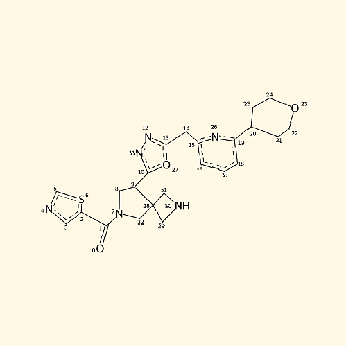 O=C(c1cncs1)N1CC(c2nnc(Cc3cccc(C4CCOCC4)n3)o2)C2(CNC2)C1